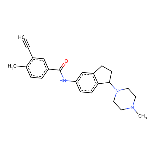 C#Cc1cc(C(=O)Nc2ccc3c(c2)CCC3N2CCN(C)CC2)ccc1C